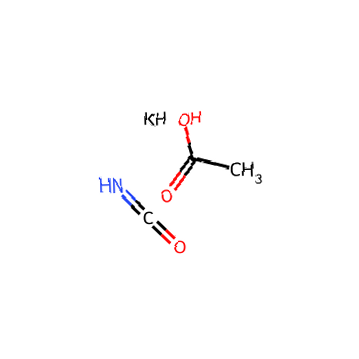 CC(=O)O.N=C=O.[KH]